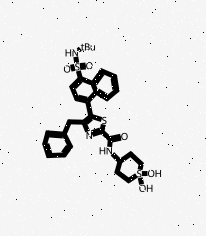 CC(C)(C)NS(=O)(=O)c1ccc(-c2sc(C(=O)NC3CCS(O)(O)CC3)nc2Cc2ccccc2)c2ccccc12